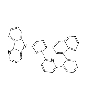 c1cc(-c2cccc(-n3c4ccccc4c4ncccc43)n2)nc(-c2ccccc2-c2cccc3ccccc23)c1